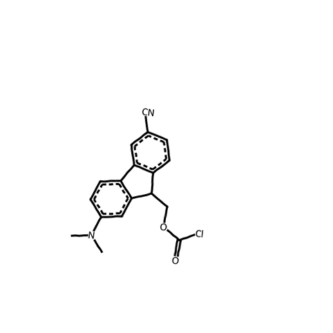 CN(C)c1ccc2c(c1)C(COC(=O)Cl)c1ccc(C#N)cc1-2